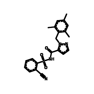 Cc1cc(C)c(Cn2nccc2C(=O)NS(=O)(=O)c2ccccc2C#N)c(C)c1